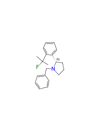 CC(C)(F)c1ccccc1[C@@H]1CCCN1Cc1ccccc1